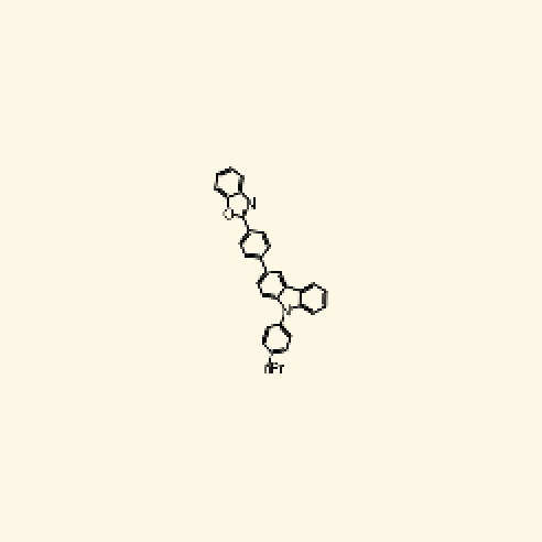 CCCc1ccc(-n2c3ccccc3c3cc(-c4ccc(-c5nc6ccccc6o5)cc4)ccc32)cc1